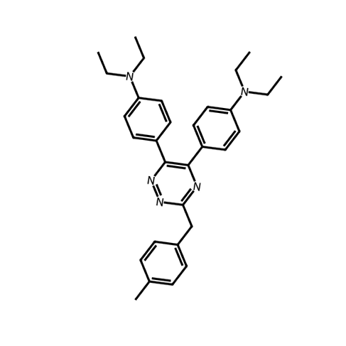 CCN(CC)c1ccc(-c2nnc(Cc3ccc(C)cc3)nc2-c2ccc(N(CC)CC)cc2)cc1